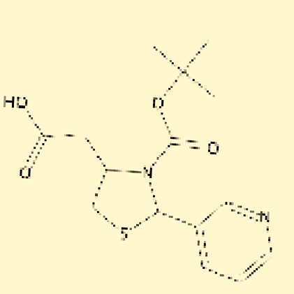 CC(C)(C)OC(=O)N1C(CC(=O)O)CSC1c1cccnc1